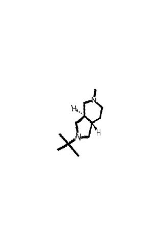 CN1CC[C@@H]2CN(C(C)(C)C)C[C@H]2C1